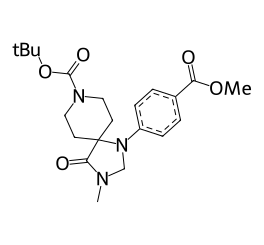 COC(=O)c1ccc(N2CN(C)C(=O)C23CCN(C(=O)OC(C)(C)C)CC3)cc1